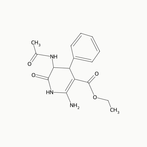 CCOC(=O)C1=C(N)NC(=O)C(NC(C)=O)C1c1ccccc1